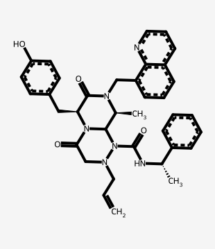 C=CCN1CC(=O)N2C([C@H](C)N(Cc3cccc4cccnc34)C(=O)[C@@H]2Cc2ccc(O)cc2)N1C(=O)N[C@@H](C)c1ccccc1